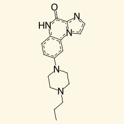 CCCN1CCN(c2ccc3[nH]c(=O)c4nccn4c3c2)CC1